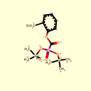 CCOC(=O)c1ccccc1OC(=O)P(=O)(O[Si](C)(C)C)O[Si](C)(C)C